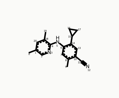 Cc1cnc(Nc2cc(C)c(C#N)cc2C2CC2)c(C)c1